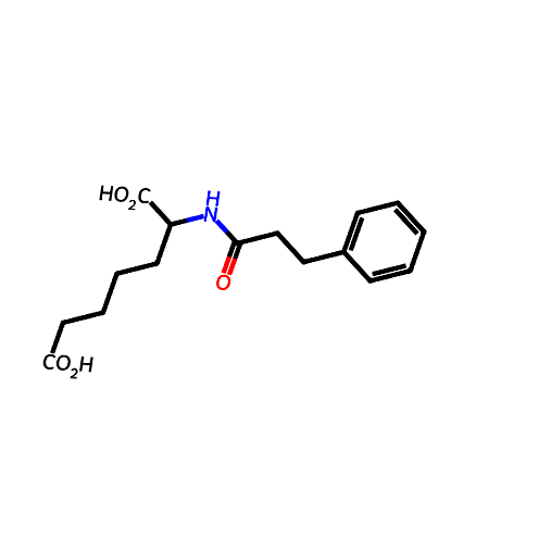 O=C(O)CCCCC(NC(=O)CCc1ccccc1)C(=O)O